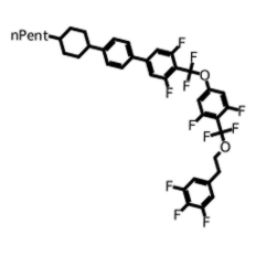 CCCCCC1CCC(c2ccc(-c3cc(F)c(C(F)(F)Oc4cc(F)c(C(F)(F)OCCc5cc(F)c(F)c(F)c5)c(F)c4)c(F)c3)cc2)CC1